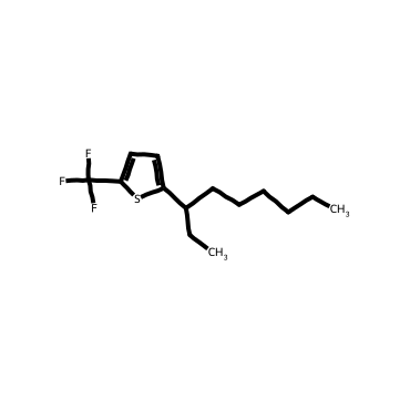 CCCCCCC(CC)c1ccc(C(F)(F)F)s1